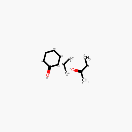 CC(=O)CC(C)C.CCC(C)=O.O=C1CCCCC1